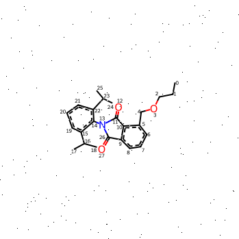 CCCOCc1cccc2c1C(=O)N(c1c(C(C)C)cccc1C(C)C)C2=O